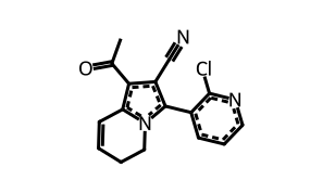 CC(=O)c1c(C#N)c(-c2cccnc2Cl)n2c1C=CCC2